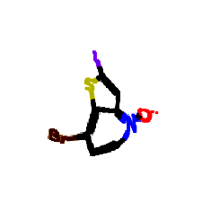 [O-][n+]1ccc(Br)c2sc(I)cc21